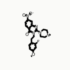 COc1ccc(CCn2c(N3CCN(C)CC3)nc3cc([N+](=O)[O-])ccc3c2=O)c(F)c1